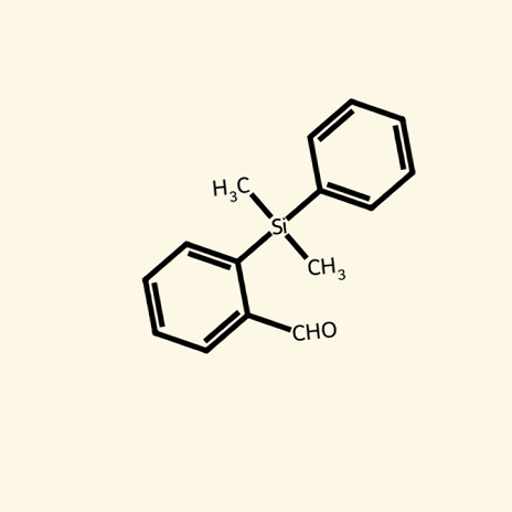 C[Si](C)(c1ccccc1)c1ccccc1C=O